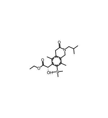 CCOC(=O)[C@@H](O)c1c(C)c2c(c(C)c1[Si](C)(C)C)CN(CC(C)C)C(=O)C2